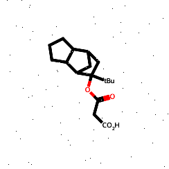 CC(C)(C)C1(OC(=O)CC(=O)O)CC2CC1C1CCCC21